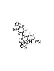 N#Cc1ccc2c(n1)C1(CCOC1)CN2c1ccc(Cl)c(F)c1